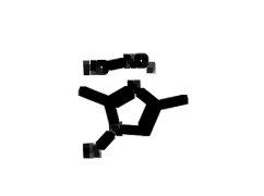 CCn1cc(C)nc1C.O=[N+]([O-])O